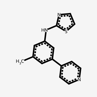 Cc1cc(Nc2nccs2)cc(-c2ccncc2)c1